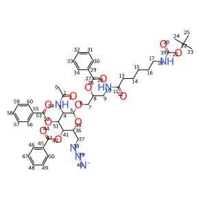 CC(=O)NC1C(OCC(CNC(=O)CCCCCNC(=O)OC(C)(C)C)OC(=O)c2ccccc2)OC(CN=[N+]=[N-])C(OC(=O)c2ccccc2)C1OC(=O)c1ccccc1